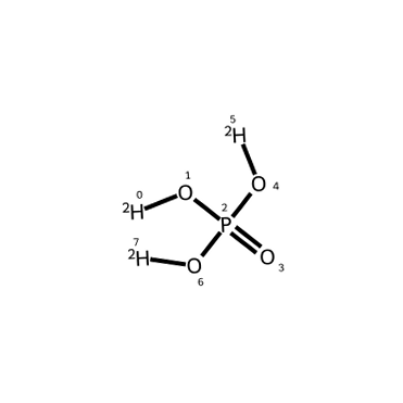 [2H]OP(=O)(O[2H])O[2H]